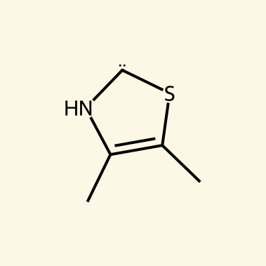 CC1=C(C)S[C]N1